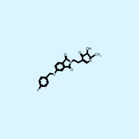 CC1=NC=C(CCN2C(=O)c3ccc(OCc4ccc(F)cc4)cc3C2=O)C(=O)C1O